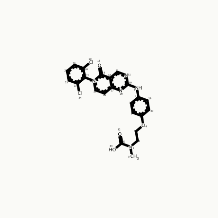 CN(CCOc1ccc(Nc2ncc3c(=O)n(-c4c(Cl)cccc4Cl)ccc3n2)cc1)C(=O)O